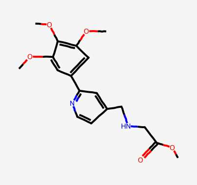 COC(=O)CNCc1ccnc(-c2cc(OC)c(OC)c(OC)c2)c1